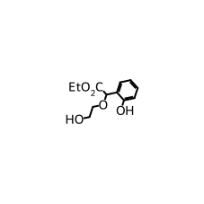 CCOC(=O)C(OCCO)c1ccccc1O